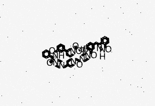 CC(C)(C)OC(=O)N1CCCC(c2cccc(C(=O)N[C@@H](C(=O)N3CCN(CC4CCN(CC(=O)N5CCN(C(=O)c6cc(Cc7n[nH]c(=O)c8ccccc78)ccc6F)CC5)CC4)CC3)C3CCCCC3)c2)C1